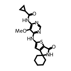 COc1c(NC(=O)C2CC2)ncnc1Nc1cc2c(s1)C(=O)NC21CCCCC1